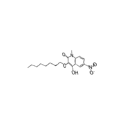 CCCCCCCCOc1c(O)c2cc([N+](=O)[O-])ccc2n(C)c1=O